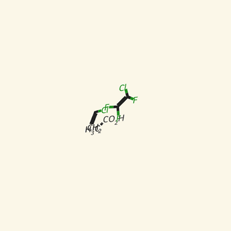 C=CCl.CC(=O)O.FC(F)=C(F)Cl